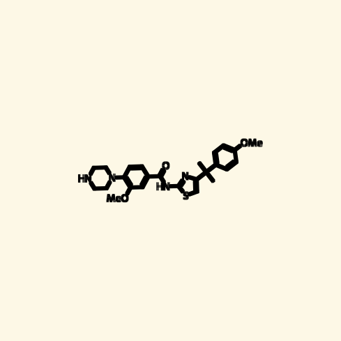 COc1ccc(C(C)(C)c2csc(NC(=O)c3ccc(N4CCNCC4)c(OC)c3)n2)cc1